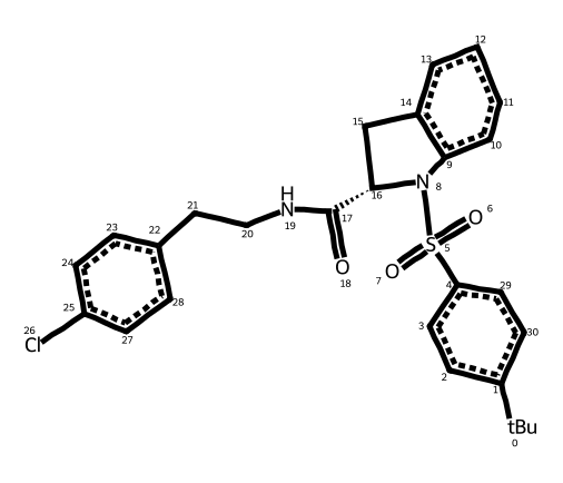 CC(C)(C)c1ccc(S(=O)(=O)N2c3ccccc3C[C@H]2C(=O)NCCc2ccc(Cl)cc2)cc1